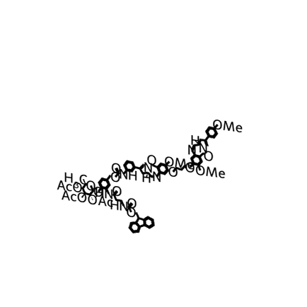 COc1ccc(C2=CN3C(=O)c4cc(OC)c(OCCCOc5cc6c(cc5OC)C(=O)N5C=C(c7cccc(NC(=O)OCc8ccc(O[C@@H]9O[C@H](C)[C@@H](OC(C)=O)[C@H](OC(C)=O)[C@H]9OC(C)=O)c(NC(=O)CCNC(=O)OCC9c%10ccccc%10-c%10ccccc%109)c8)c7)C[C@H]5C=N6)cc4N=C[C@@H]3C2)cc1